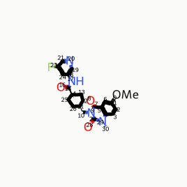 COc1ccc2c(c1)c(=O)n(C[C@H]1CC[C@H](C(=O)Nc3cncc(F)c3)CC1)c(=O)n2C